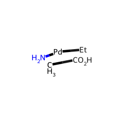 CC(=O)O.C[CH2][Pd][NH2]